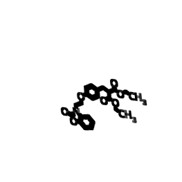 CCOC(=O)C(Cc1ccc(OCCn2c(=O)oc3ccccc32)cc1)C(=O)OCC